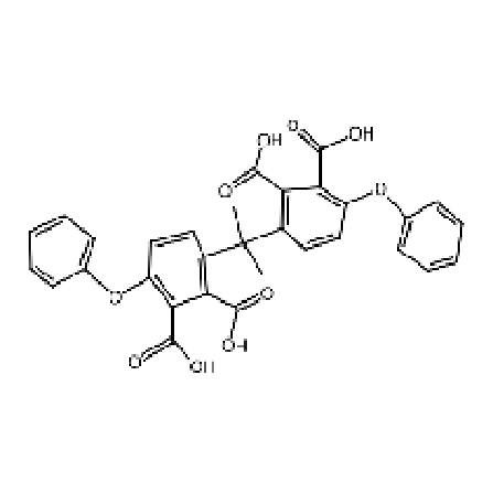 CC(C)(c1ccc(Oc2ccccc2)c(C(=O)O)c1C(=O)O)c1ccc(Oc2ccccc2)c(C(=O)O)c1C(=O)O